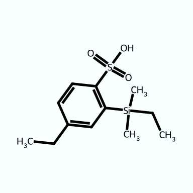 CCc1ccc(S(=O)(=O)O)c([Si](C)(C)CC)c1